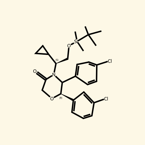 CC(C)(C)[Si](C)(C)OC[C@H](C1CC1)N1C(=O)CO[C@H](c2cccc(Cl)c2)C1c1ccc(Cl)cc1